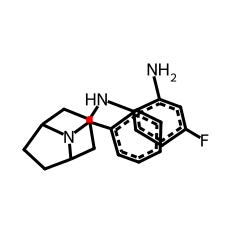 Nc1cc(F)ccc1NC1CC2CCC(C1)N2Cc1ccccc1